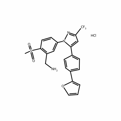 CS(=O)(=O)c1ccc(-n2nc(C(F)(F)F)cc2-c2ccc(-c3ccco3)cc2)cc1CN.Cl